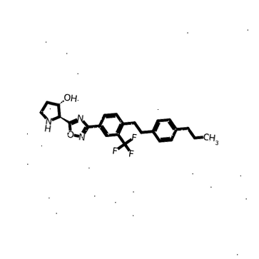 CCCc1ccc(CCc2ccc(-c3noc([C@H]4NCC[C@@H]4O)n3)cc2C(F)(F)F)cc1